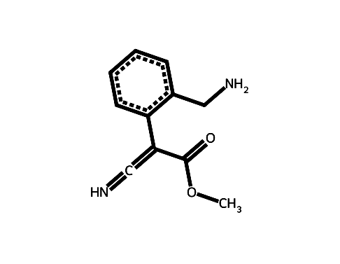 COC(=O)C(=C=N)c1ccccc1CN